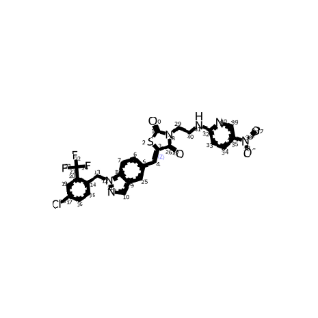 O=C1S/C(=C\c2ccc3c(cnn3Cc3ccc(Cl)cc3C(F)(F)F)c2)C(=O)N1CCNc1ccc([N+](=O)[O-])cn1